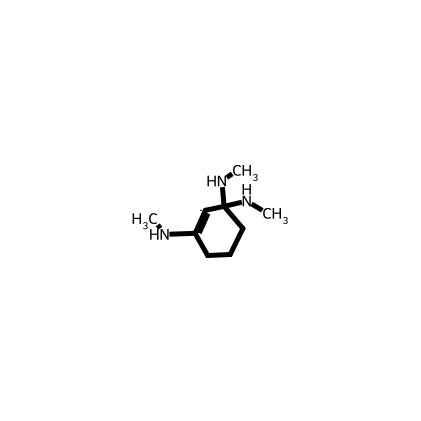 CNC1=[C]C(NC)(NC)CCC1